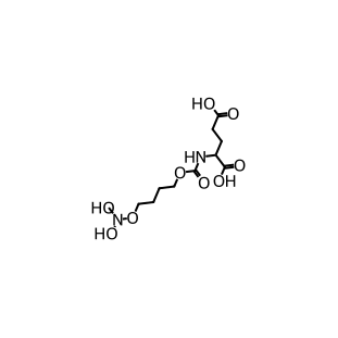 O=C(O)CCC(NC(=O)OCCCCON(O)O)C(=O)O